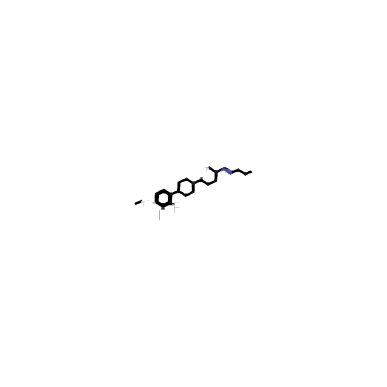 CCC/C=C/C1CCC(C2CCC(c3ccc(OCC)c(F)c3F)CC2)OC1